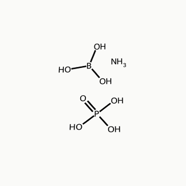 N.O=P(O)(O)O.OB(O)O